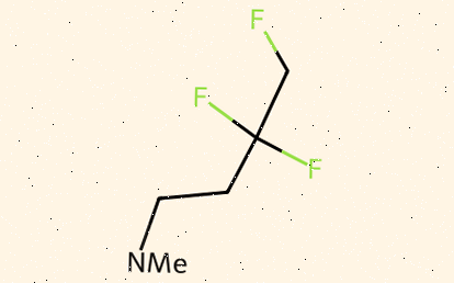 CNCCC(F)(F)CF